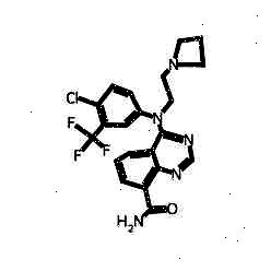 NC(=O)c1cccc2c(N(CCN3CCC3)c3ccc(Cl)c(C(F)(F)F)c3)ncnc12